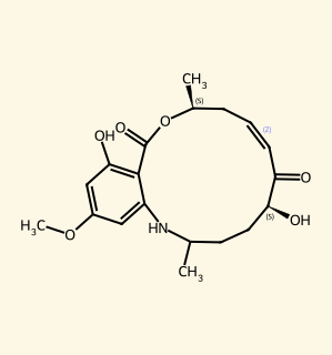 COc1cc(O)c2c(c1)NC(C)CC[C@H](O)C(=O)/C=C\C[C@H](C)OC2=O